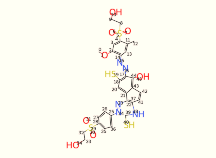 COc1cc(S(=O)(=O)CCO)c(C)cc1/N=N/c1c(S)cc2c(/N=N/c3ccc(S(=O)(=O)CCO)cc3)c(NCS)ccc2c1O